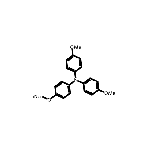 CCCCCCCCCOc1ccc(N(c2ccc(OC)cc2)c2ccc(OC)cc2)cc1